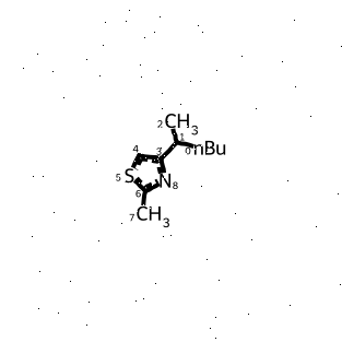 [CH2]CCCC(C)c1csc(C)n1